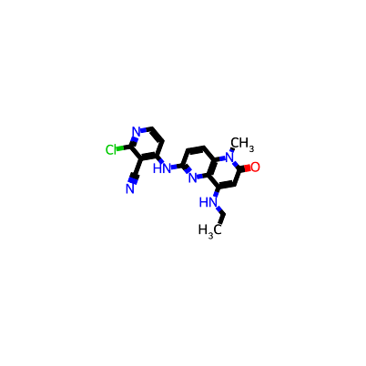 CCNc1cc(=O)n(C)c2ccc(Nc3ccnc(Cl)c3C#N)nc12